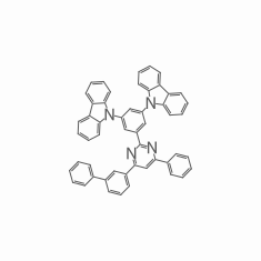 c1ccc(-c2cccc(-c3cc(-c4ccccc4)nc(-c4cc(-n5c6ccccc6c6ccccc65)cc(-n5c6ccccc6c6ccccc65)c4)n3)c2)cc1